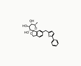 C[C@H]1O[C@]2(OCc3ccc(Cc4ccc(-c5ccccc5)s4)cc32)[C@H](O)[C@@H](O)[C@@H]1O